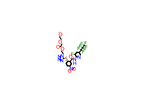 COCCOCC(=O)OCCn1nnnc1Sc1ccc([N+](=O)[O-])cc1C(=O)Nc1ncc(C(F)(F)C(F)(F)C(F)(F)F)cc1F